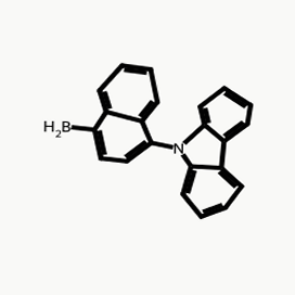 Bc1ccc(-n2c3ccccc3c3ccccc32)c2ccccc12